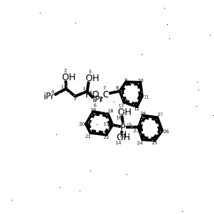 CC(C)C(O)CC(O)C(C)C.O=C(O)c1ccccc1.O[PH](O)(c1ccccc1)c1ccccc1